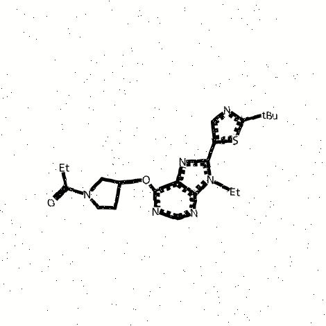 CCC(=O)N1CCC(Oc2ncnc3c2nc(-c2cnc(C(C)(C)C)s2)n3CC)C1